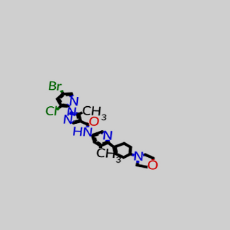 Cc1cc(NC(=O)c2cnn(-c3ncc(Br)cc3Cl)c2C)cnc1C1=CCC(N2CCOCC2)CC1